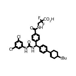 CC(C)(C)C1CC=C(c2ccc(C(NC(=O)Nc3cc(Cl)cc(Cl)c3)c3ccc(C(=O)NCC(F)(F)C(=O)O)cc3)cc2)CC1